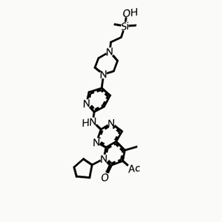 CC(=O)c1c(C)c2cnc(Nc3ccc(N4CCN(CC[Si](C)(C)O)CC4)cn3)nc2n(C2CCCC2)c1=O